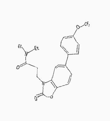 CCN(CC)C(=O)CCn1c(=O)oc2ccc(-c3ccc(OC(F)(F)F)cc3)cc21